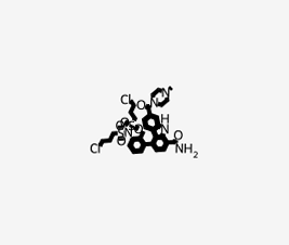 Cc1c(-c2ccc(C(N)=O)c3[nH]c4cc(C(=O)N5CCN(C)CC5)ccc4c23)cccc1N(S(=O)(=O)CCCCl)S(=O)(=O)CCCCl